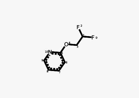 FC(F)COc1[c]cccn1